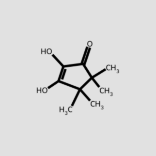 CC1(C)C(=O)C(O)=C(O)C1(C)C